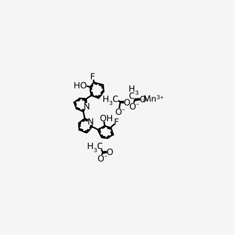 CC(=O)[O-].CC(=O)[O-].CC(=O)[O-].Oc1c(F)cccc1-c1cccc(-c2cccc(-c3cccc(F)c3O)n2)n1.[Mn+3]